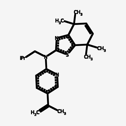 C=C(C)c1ccc(N(CC(C)C)c2nc3c(s2)C(C)(C)C=CC3(C)C)nc1